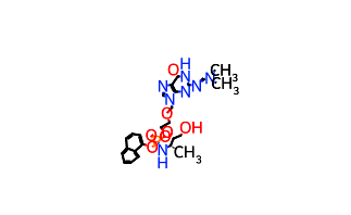 C[C@H](NP(=O)(OCCOCn1cnc2c(=O)[nH]c(/N=C/N(C)C)nc21)Oc1cccc2ccccc12)C(=O)CO